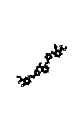 COC(=O)c1cc(NCc2nc(CC(C)c3ccccc3SCC3CCN(Cc4cccc(C(=O)OC)c4C#N)C3)no2)ccc1Cl